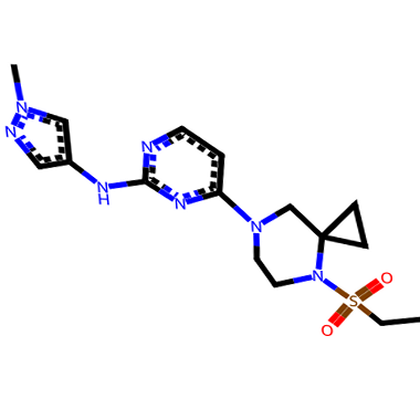 CCS(=O)(=O)N1CCN(c2ccnc(Nc3cnn(C)c3)n2)CC12CC2